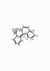 C1=CN2PN=c3ccccc3=C2c2ccccc21